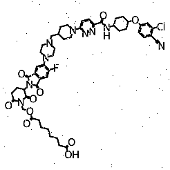 N#Cc1ccc(OC2CCC(NC(=O)c3ccc(N4CCC(CN5CCN(c6cc7c(cc6F)C(=O)N(C6CCC(=O)N(COC(=O)CCCCCCC(=O)O)C6=O)C7=O)CC5)CC4)nn3)CC2)cc1Cl